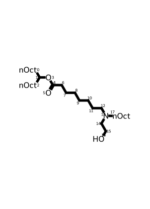 CCCCCCCCC(CCCCCCCC)OC(=O)CCCCCCCN(CCO)CCCCCCCC